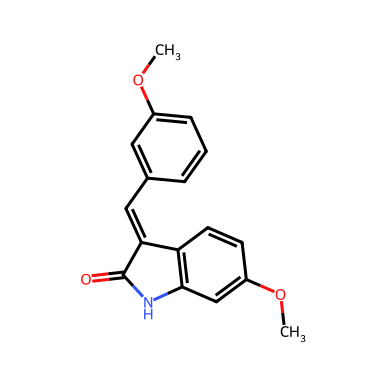 COc1cccc(/C=C2/C(=O)Nc3cc(OC)ccc32)c1